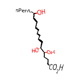 CCCCC[C@@H](O)C=CC=CC=CC=C[C@@H](O)[C@@H](O)CCCC(=O)O